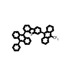 FC(F)(F)c1c2ccccc2c(-c2ccc3c(c2)sc2c(-c4c5ccccc5c(-c5ccccc5)c5ccccc45)cccc23)c2ccccc12